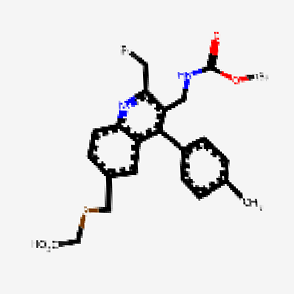 Cc1ccc(-c2c(CNC(=O)OC(C)(C)C)c(CC(C)C)nc3ccc(CSCC(=O)O)cc23)cc1